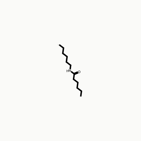 [CH2]CCCCCNC(=O)CCCCC